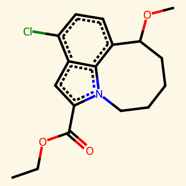 CCOC(=O)c1cc2c(Cl)ccc3c2n1CCCCC3OC